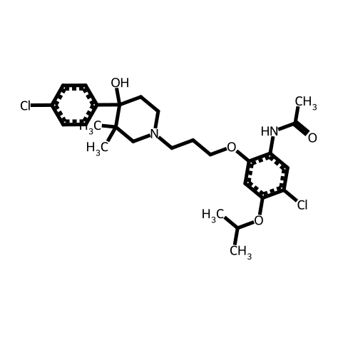 CC(=O)Nc1cc(Cl)c(OC(C)C)cc1OCCCN1CCC(O)(c2ccc(Cl)cc2)C(C)(C)C1